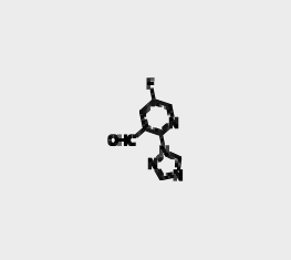 O=Cc1cc(F)cnc1-n1cncn1